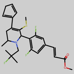 COC(=O)/C=C/c1cc(F)c(C2C(SC)=C(C3=CCC=C3)CC(C)N2CC(C)(C)F)c(F)c1